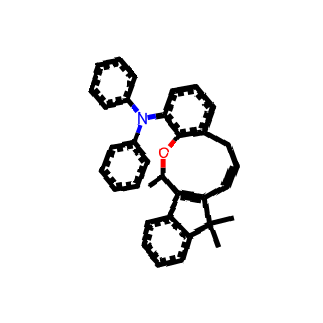 CC1Oc2c(cccc2N(c2ccccc2)c2ccccc2)C/C=C\C2=C1c1ccccc1C2(C)C